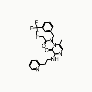 Cc1cnc(NCCc2ccccn2)c(=O)n1N(Cc1cccc(C(F)(F)F)c1)C(=O)CF